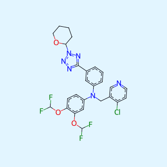 FC(F)Oc1ccc(N(Cc2cnccc2Cl)c2cccc(-c3nnn(C4CCCCO4)n3)c2)cc1OC(F)F